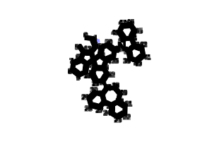 C/C=C\C1=C(C)c2ccccc2C12c1ccc([C@H]3CCc4ccccc4C4C=CC=CC43)cc1-c1cc(-n3c4ccccc4c4ccccc43)ccc12